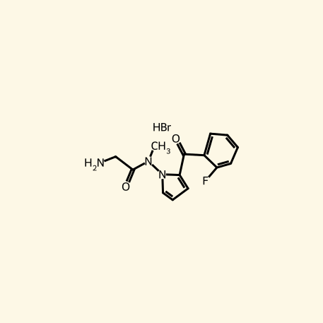 Br.CN(C(=O)CN)n1cccc1C(=O)c1ccccc1F